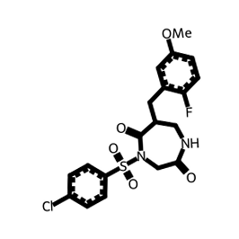 COc1ccc(F)c(CC2CNC(=O)CN(S(=O)(=O)c3ccc(Cl)cc3)C2=O)c1